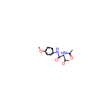 COc1ccc(NC(=O)C(NC(C)=O)C(C)=O)cc1